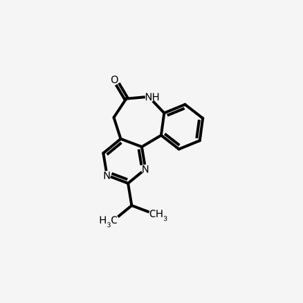 CC(C)c1ncc2c(n1)-c1ccccc1NC(=O)C2